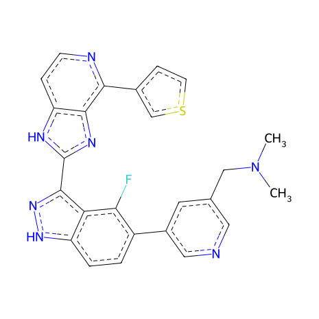 CN(C)Cc1cncc(-c2ccc3[nH]nc(-c4nc5c(-c6ccsc6)nccc5[nH]4)c3c2F)c1